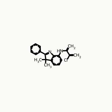 C=C(Cl)C(=C)Nc1cccc2c1N=C(c1ccccc1)C2(C)C